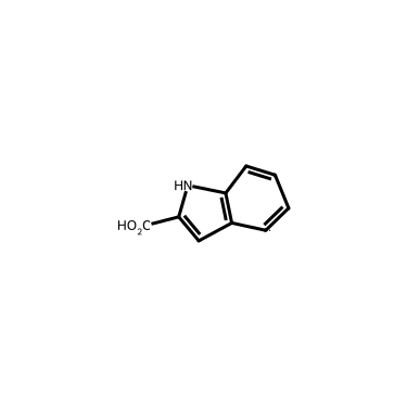 O=C(O)c1cc2[c]cccc2[nH]1